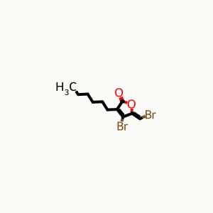 CCCCCCC1=C(Br)/C(=C/Br)OC1=O